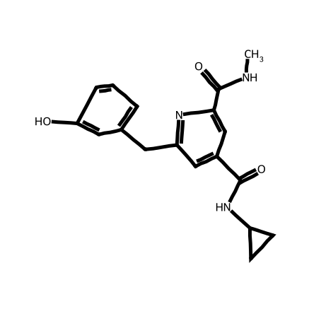 CNC(=O)c1cc(C(=O)NC2CC2)cc(Cc2cccc(O)c2)n1